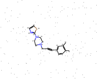 Cc1ccc(C#CCN2CCN(c3nccs3)CC2)cc1C